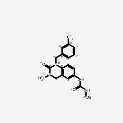 CN1Cc2cc(NC(=O)NC(C)(C)C)ccc2N(Cc2cccc(C(F)(F)F)c2)C1=O